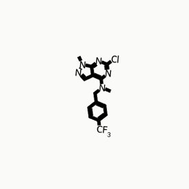 CN(Cc1ccc(C(F)(F)F)cc1)c1nc(Cl)nc2c1cnn2C